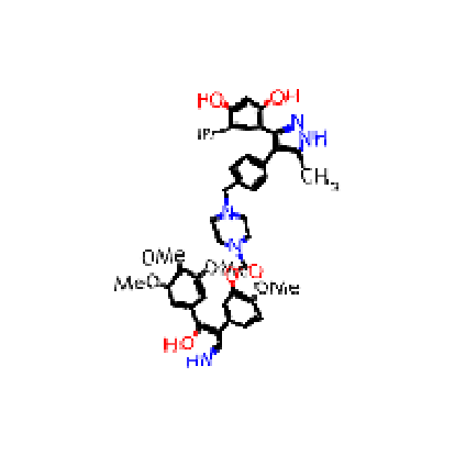 COC1=CC(/C(O)=C(/C=N)c2ccc(OC)c(OC(=O)N3CCN(Cc4ccc(-c5c(-c6cc(C(C)C)c(O)cc6O)n[nH]c5C)cc4)CC3)c2)=CC(OC)C1OC